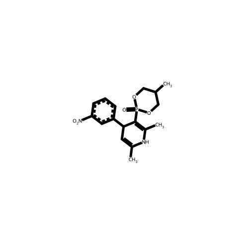 CC1=CC(c2cccc([N+](=O)[O-])c2)C(P2(=O)OCC(C)CO2)=C(C)N1